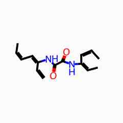 C=C/C(=C\C=C/C)NC(=O)C(=O)NC(/C=C\C)=C/C